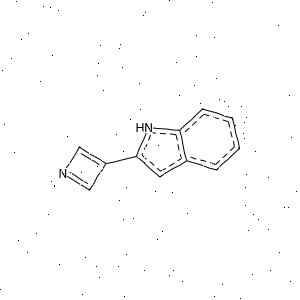 C1=NC=C1c1cc2ccccc2[nH]1